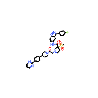 CS(=O)(=O)C1(C(=O)Nc2ccc3[nH]nc(-c4ccc(F)cc4)c3c2)CCN(CC(=O)N2CC=C(c3ccc(-c4ncccn4)cc3)CC2)C1